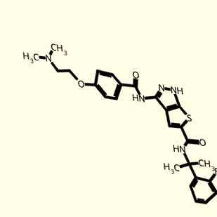 CN(C)CCOc1ccc(C(=O)Nc2n[nH]c3sc(C(=O)NC(C)(C)c4ccccc4F)cc23)cc1